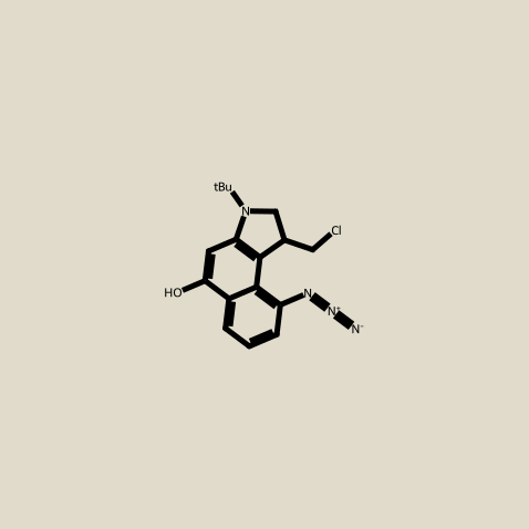 CC(C)(C)N1CC(CCl)c2c1cc(O)c1cccc(N=[N+]=[N-])c21